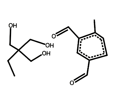 CCC(CO)(CO)CO.Cc1ccc(C=O)cc1C=O